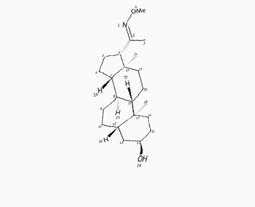 CO/N=C(\C)[C@H]1CC[C@H]2[C@@H]3CC[C@H]4C[C@H](O)CC[C@]4(C)[C@H]3CC[C@]12C